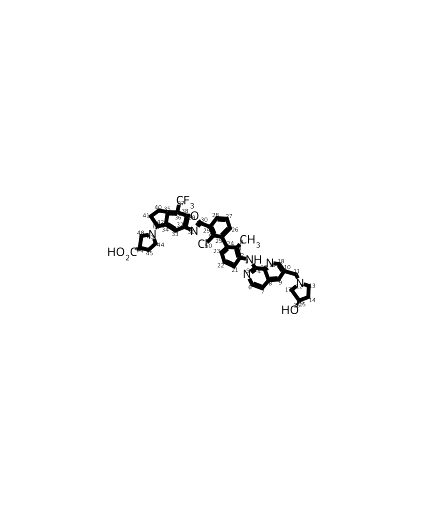 Cc1c(Nc2nccc3cc(CN4CC[C@@H](O)C4)cnc23)cccc1-c1cccc(-c2nc3cc4c(c(C(F)(F)F)c3o2)CC[C@H]4N2CC[C@@H](C(=O)O)C2)c1Cl